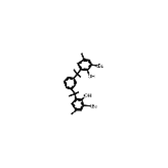 Cc1cc(C(C)(C)C)c(O)c(C(C)(C)c2cccc(C(C)(C)c3cc(C)cc(C(C)(C)C)c3O)c2)c1